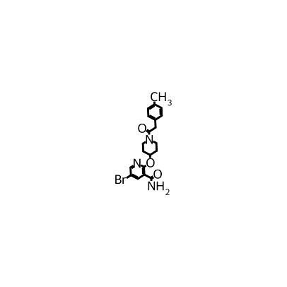 Cc1ccc(CC(=O)N2CCC(Oc3ncc(Br)cc3C(N)=O)CC2)cc1